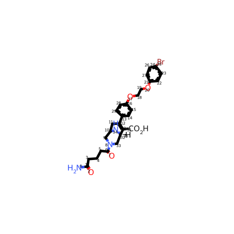 NC(=O)CCCC(=O)N1CC2CC(c3ccc(OCCOc4ccc(Br)cc4)cc3)=C(C(=O)O)[C@@H](C1)N2